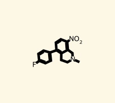 CN1CCc2c(-c3ccc(F)cc3)ccc([N+](=O)[O-])c2C1